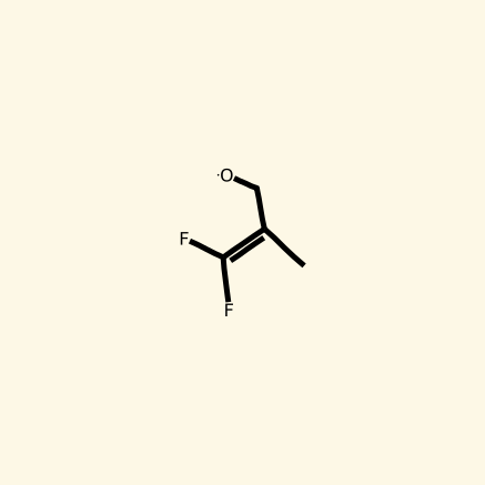 CC(C[O])=C(F)F